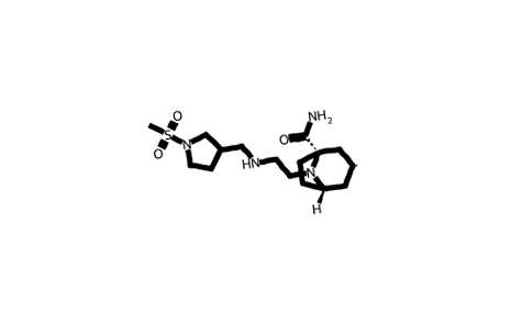 CS(=O)(=O)N1CCC(CNCCN2[C@@H]3C[CH]C[C@]2(C(N)=O)CC3)C1